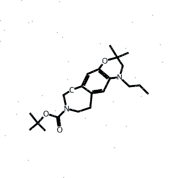 CCCN1CC(C)(C)Oc2cc3c(cc21)CCN(C(=O)OC(C)(C)C)CC3